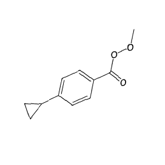 COOC(=O)c1ccc(C2CC2)cc1